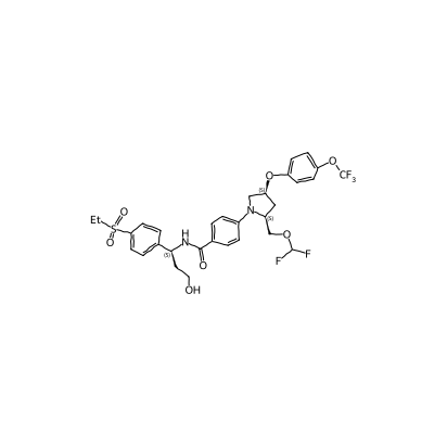 CCS(=O)(=O)c1ccc([C@H](CCO)NC(=O)c2ccc(N3C[C@@H](Oc4ccc(OC(F)(F)F)cc4)C[C@H]3COC(F)F)cc2)cc1